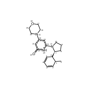 CC1C=CC=CC1[C@@H]1CCCN1c1cc(N2CCOCC2)cc(=O)[nH]1